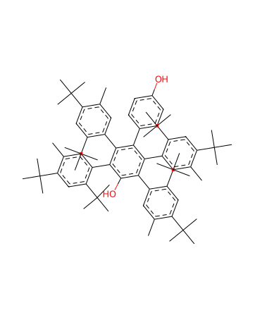 Cc1cc(-c2c(O)c(-c3cc(C)c(C(C)(C)C)cc3C(C)(C)C)c(-c3cc(C)c(C(C)(C)C)cc3C(C)(C)C)c(-c3ccc(O)cc3)c2-c2cc(C)c(C(C)(C)C)cc2C(C)(C)C)c(C(C)(C)C)cc1C(C)(C)C